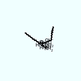 CCCCCCCCCCCCCCCC(=O)NC(CCNC(=N)N)C(=O)OC[C@H](N)[C@H](O)CC=C[C@@H](C)CCCCCCCCCCC